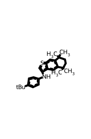 CC(C)(C)c1ccc(Nc2csc3cc4c(cc23)C(C)(C)CCC4(C)C)cc1